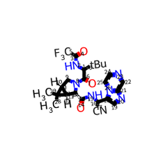 CC(C)(C)C(NC(=O)C(F)(F)F)C(=O)N1C[C@H]2[C@@H]([C@H]1C(=O)NC(C#N)c1cnc3cnccn13)C2(C)C